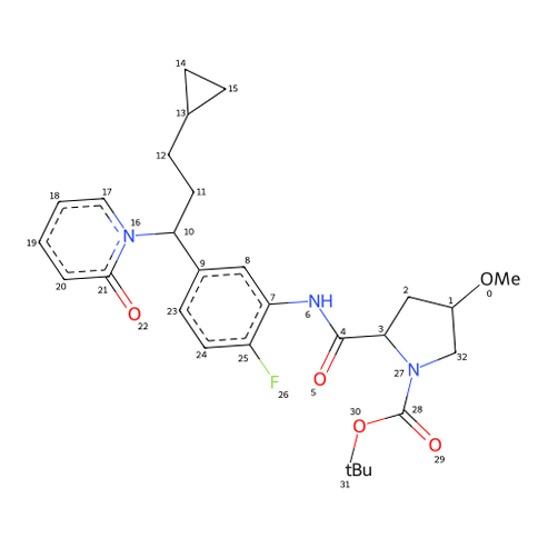 COC1CC(C(=O)Nc2cc(C(CCC3CC3)n3ccccc3=O)ccc2F)N(C(=O)OC(C)(C)C)C1